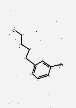 CCCc1cccc(CCCCCl)c1